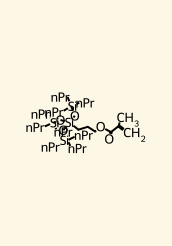 C=C(C)C(=O)OCCC[Si](O[Si](CCC)(CCC)CCC)(O[Si](CCC)(CCC)CCC)O[Si](CCC)(CCC)CCC